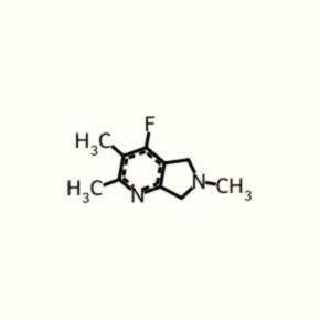 Cc1nc2c(c(F)c1C)CN(C)C2